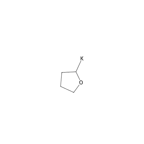 [K][CH]1CCCO1